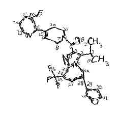 CC(C)c1c(C(=O)N2CC=C(c3ncccc3F)CC2)nc2c(C(F)(F)F)cc(-c3ccoc3)cn12